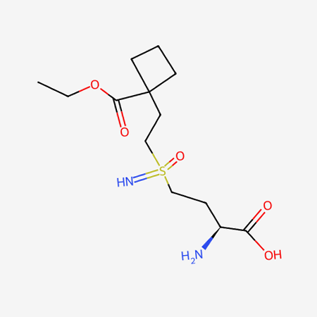 CCOC(=O)C1(CCS(=N)(=O)CC[C@H](N)C(=O)O)CCC1